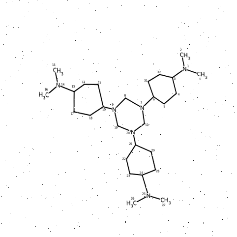 CN(C)C1CCC(N2CN(C3CCC(N(C)C)CC3)CN(C3CCC(N(C)C)CC3)C2)CC1